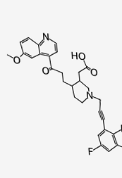 COc1ccc2nccc(C(=O)CCC3CCN(CC#Cc4cc(F)cc(F)c4F)CC3CC(=O)O)c2c1